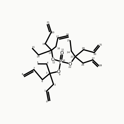 C=CCC(CC)(CC=C)OP(=O)(OC(CC)(CC=C)CC=C)OC(CC)(CC=C)CC=C